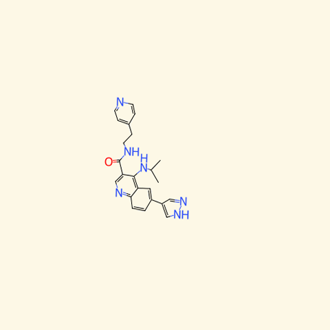 CC(C)Nc1c(C(=O)NCCc2ccncc2)cnc2ccc(-c3cn[nH]c3)cc12